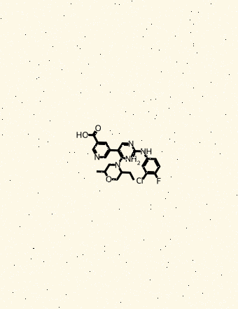 C=C(/N=C\C(=C(/N)N1CC(C)OCC1CC)c1cncc(C(=O)O)c1)Nc1ccc(F)c(Cl)c1